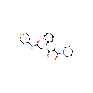 O=C(CN1C(=O)C(C(=O)N2CCCCC2)Sc2ccccc21)NC1CCOCC1